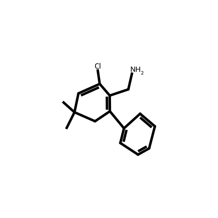 CC1(C)C=C(Cl)C(CN)=C(c2ccccc2)C1